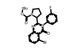 CC(C)(C)OC(=O)N1CCCC1c1nc2cccc(Br)c2c(=O)n1-c1cccc(F)c1